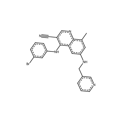 Cc1cc(NCc2cccnc2)cc2c(Nc3cccc(Br)c3)c(C#N)cnc12